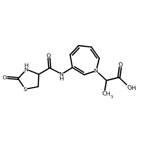 CC(C(=O)O)N1C=CC=CC(NC(=O)C2CSC(=O)N2)=C1